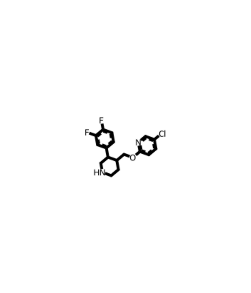 Fc1ccc(C2CNCCC2COc2ccc(Cl)cn2)cc1F